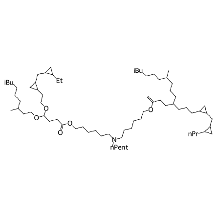 C=C(CCC(CCCC(C)CCCC(C)CC)CCCC1CC1CC1CC1CCC)OCCCCCCN(CCCCC)CCCCCCOC(=O)CCC(OCCC(C)CCCC(C)CC)OCCC1CC1CC1CC1CC